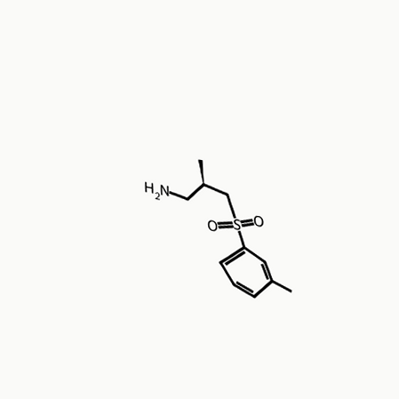 Cc1cccc(S(=O)(=O)C[C@H](C)CN)c1